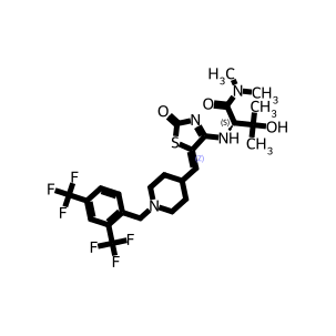 CN(C)C(=O)[C@@H](NC1=NC(=O)S/C1=C\C1CCN(Cc2ccc(C(F)(F)F)cc2C(F)(F)F)CC1)C(C)(C)O